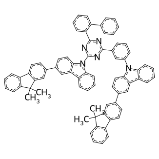 CC1(C)c2ccccc2-c2ccc(-c3ccc4c(c3)c3ccccc3n4-c3cccc(-c4nc(-c5ccccc5-c5ccccc5)nc(-n5c6ccccc6c6cc(-c7ccc8c(c7)C(C)(C)c7ccccc7-8)ccc65)n4)c3)cc21